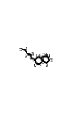 CCCC=Cc1ccc2ccc[c]c2c1